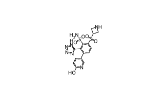 NS(=O)(=O)c1c(S(=O)(=O)C2CNC2)ccc(-c2ccc(O)nc2)c1-c1nnn[nH]1